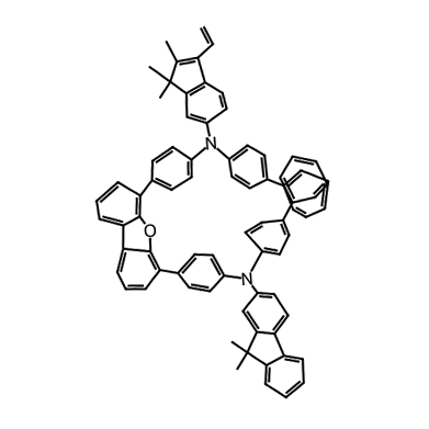 C=CC1=C(C)C(C)(C)c2cc(N(c3ccc(-c4ccccc4)cc3)c3ccc(-c4cccc5c4oc4c(-c6ccc(N(c7ccc(-c8ccccc8)cc7)c7ccc8c(c7)C(C)(C)c7ccccc7-8)cc6)cccc45)cc3)ccc21